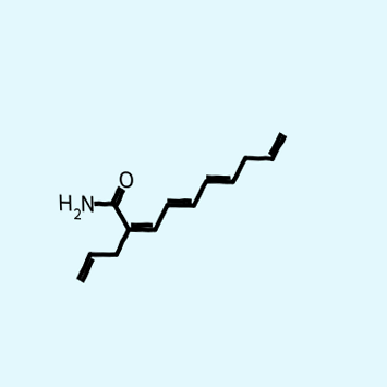 C=CC/C=C/C=C/C=C(/CC=C)C(N)=O